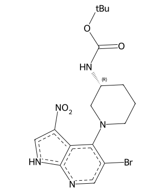 CC(C)(C)OC(=O)N[C@@H]1CCCN(c2c(Br)cnc3[nH]cc([N+](=O)[O-])c23)C1